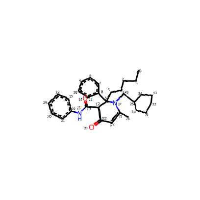 CCCCCC1(c2ccccc2)C(C(=O)Nc2ccccc2)C(=O)C=C(C)N1CC1CCCCC1